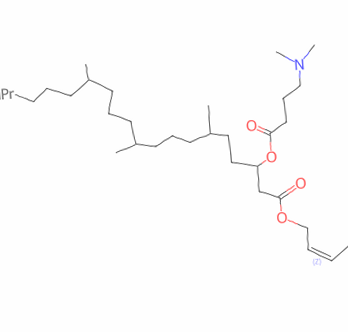 C/C=C\COC(=O)CC(CCC(C)CCCC(C)CCCC(C)CCCC(C)C)OC(=O)CCCN(C)C